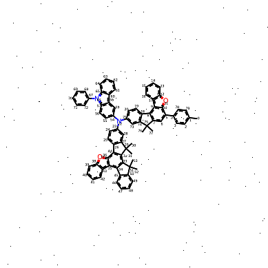 Cc1ccc(-c2cc3c(c4c2oc2ccccc24)-c2ccc(N(c4ccc5c(c4)C(C)(C)c4c6c(c7c(oc8ccccc87)c4-5)-c4ccccc4C6(C)C)c4ccc5c(c4)c4ccccc4n5-c4ccccc4)cc2C3(C)C)cc1